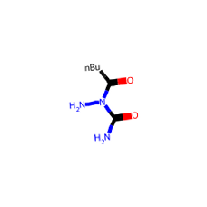 CCCCC(=O)N(N)C(N)=O